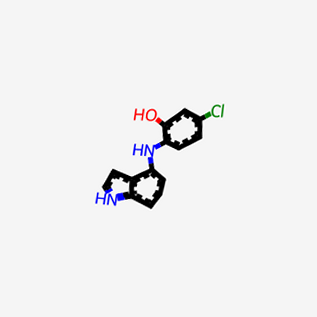 Oc1cc(Cl)ccc1Nc1cccc2[nH]ccc12